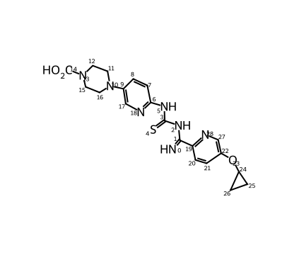 N=C(NC(=S)Nc1ccc(N2CCN(C(=O)O)CC2)cn1)c1ccc(OC2CC2)cn1